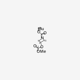 COC(=O)OC1CN(C(=O)OC(C)(C)C)C1